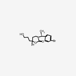 CC(C)C1(CCCO)CCN([C@@H](C)c2ccc(Br)cc2)C(=O)O1